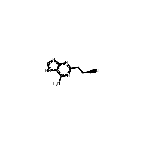 N#CCCc1nc(N)c2[nH]cnc2n1